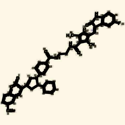 COc1ccc2oc(=O)c(C3=NN(c4ccc(C(=O)NCCNC(=O)c5c(C)[nH]c(/C=C6\C(=O)Nc7ccc(F)cc76)c5C)cc4)C(c4ccccc4)C3)cc2c1